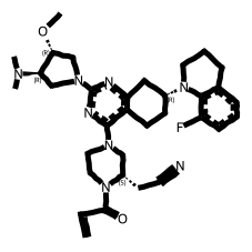 C=CC(=O)N1CCN(c2nc(N3C[C@@H](N(C)C)[C@H](OC)C3)nc3c2CC[C@@H](N2CCCc4cccc(F)c42)C3)C[C@@H]1CC#N